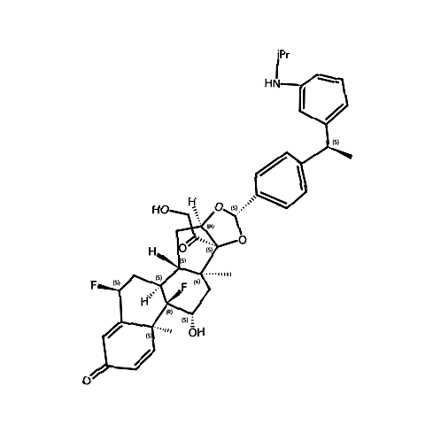 CC(C)Nc1cccc([C@@H](C)c2ccc([C@H]3O[C@@H]4C[C@H]5[C@@H]6C[C@H](F)C7=CC(=O)C=C[C@]7(C)[C@@]6(F)[C@@H](O)C[C@]5(C)[C@]4(C(=O)CO)O3)cc2)c1